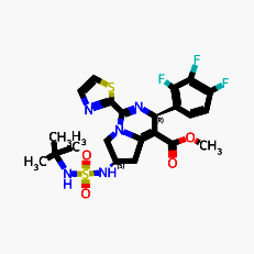 COC(=O)C1=C2C[C@H](NS(=O)(=O)NC(C)(C)C)CN2C(c2nccs2)=N[C@H]1c1ccc(F)c(F)c1F